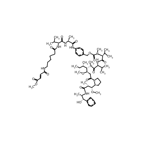 CC[C@H](C)[C@@H]([C@@H](CC(=O)N1CCC[C@H]1[C@H](OC)[C@@H](C)C(=O)N[C@H](C)[C@@H](O)c1ccccc1)OC)N(C)C(=O)[C@@H](NC(=O)[C@H](C(C)C)N(C)C(=O)OCc1ccc(NC(=O)[C@H](C)NC(=O)[C@@H](NC(=O)CCCCCNC(=O)/C=C/C(=O)OC)C(C)C)cc1)C(C)C